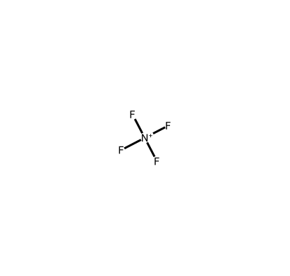 F[N+](F)(F)F